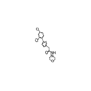 O=C(Cc1ccc(-c2ccc(Cl)cc2Cl)s1)NN1CCOCC1